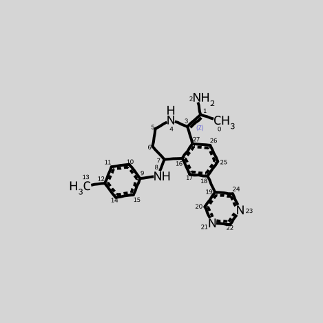 C/C(N)=C1/NCCC(Nc2ccc(C)cc2)c2cc(-c3cncnc3)ccc21